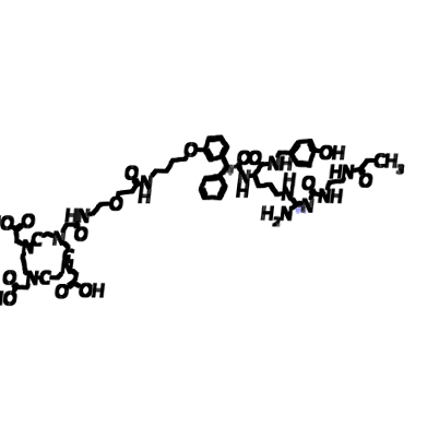 CCC(=O)NCCNC(=O)/N=C(/N)NCCCC(NC(=O)[C@H](c1ccccc1)c1cccc(OCCCCNC(=O)CCOCCNC(=O)CN2CCN(CC(=O)O)CCN(CC(=O)O)CCN(CC(=O)O)CC2)c1)C(=O)NCc1ccc(O)cc1